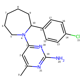 Cc1cc(N2CCCCCC2c2ccc(Cl)cc2)nc(N)n1